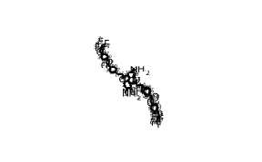 Cc1c(N)ccc(-c2ccc(N)cc2C(=O)C=Cc2ccc(C(=O)Oc3ccc(OC(F)(F)C(F)F)cc3)cc2)c1C(=O)C=Cc1ccc(C(=O)Oc2ccc(OC(F)(F)C(F)F)cc2)cc1